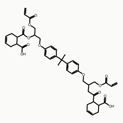 C=CC(=O)OCC(COc1ccc(C(C)(C)c2ccc(OCC(COC(=O)C=C)OC(=O)C3CC=CCC3C(=O)O)cc2)cc1)CC(=O)C1CC=CCC1C(=O)O